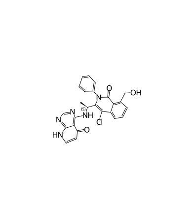 C[C@H](Nc1ncnc2[nH]ccc(=O)c12)c1c(Cl)c2cccc(CO)c2c(=O)n1-c1ccccc1